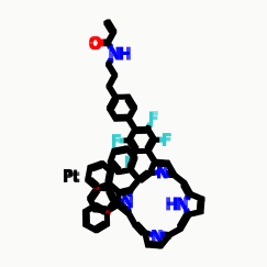 C=CC(=O)NCCCc1ccc(-c2c(F)c(F)c(C3=Cc4cc5ccc(cc6nc(cc7c(-c8ccccc8)c(-c8ccccc8)c(c(-c8ccccc8)c3n4)n7-c3ccccc3)C=C6)[nH]5)c(F)c2F)cc1.[Pt]